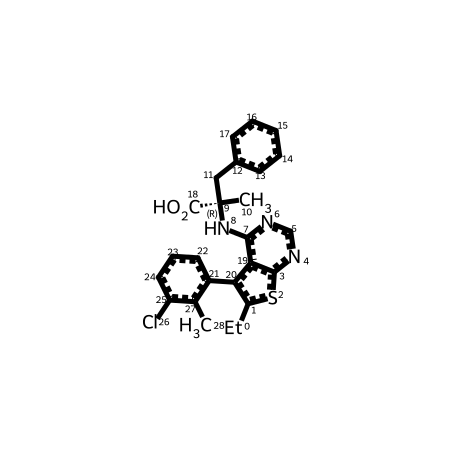 CCc1sc2ncnc(N[C@](C)(Cc3ccccc3)C(=O)O)c2c1-c1cccc(Cl)c1C